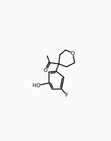 CC(=O)C1(c2cc(O)cc(F)c2)CCOCC1